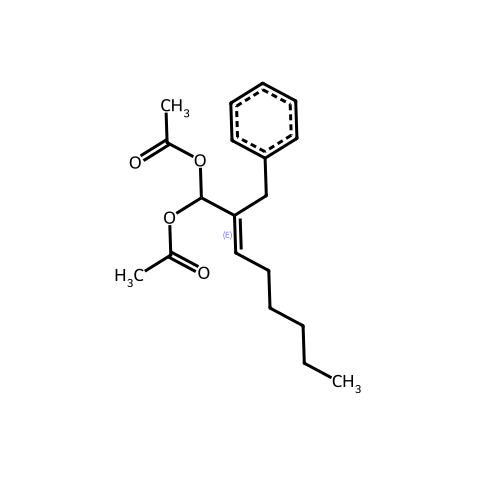 CCCCC/C=C(\Cc1ccccc1)C(OC(C)=O)OC(C)=O